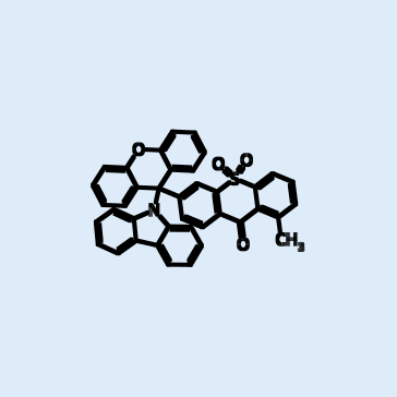 Cc1cccc2c1C(=O)c1ccc(C3(n4c5ccccc5c5ccccc54)c4ccccc4Oc4ccccc43)cc1S2(=O)=O